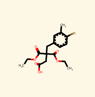 CCOC(=O)C(CC(=O)O)(Cc1ccc(Br)c(C)c1)C(=O)OCC